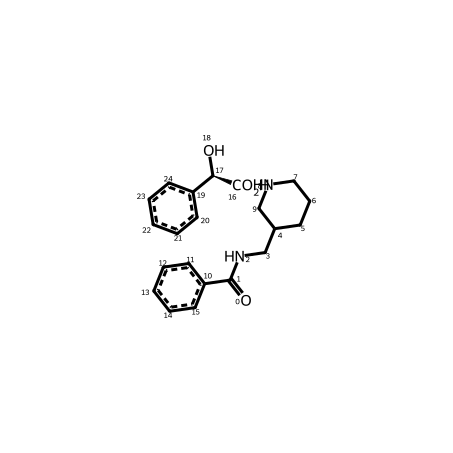 O=C(NCC1CCCNC1)c1ccccc1.O=C(O)[C@H](O)c1ccccc1